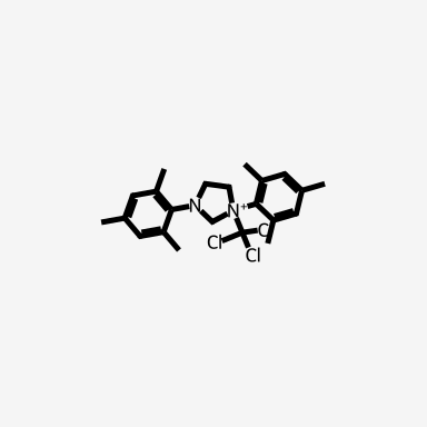 Cc1cc(C)c(N2CC[N+](c3c(C)cc(C)cc3C)(C(Cl)(Cl)Cl)C2)c(C)c1